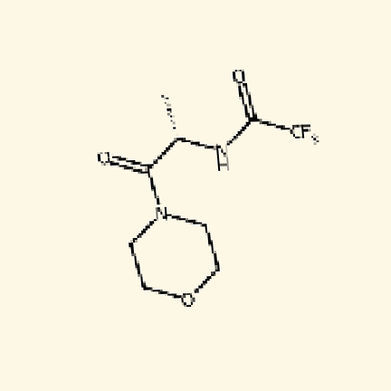 C[C@H](NC(=O)C(F)(F)F)C(=O)N1CCOCC1